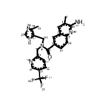 Cc1cc2cc(C(=O)N(Cc3ccc(C(F)(F)F)cn3)Cc3scnc3C)ccc2nc1N